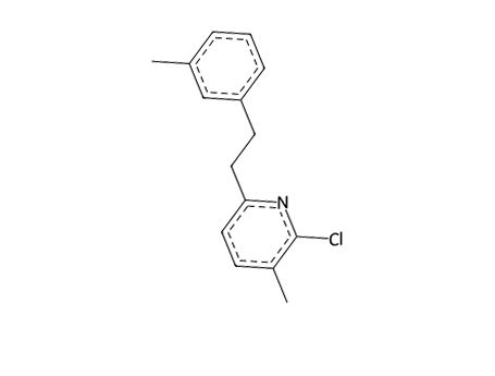 Cc1cccc(CCc2ccc(C)c(Cl)n2)c1